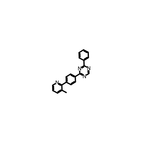 Cc1cccnc1-c1ccc(-c2ncnc(-c3ccccc3)n2)cc1